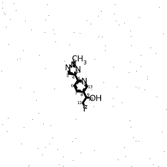 Cn1ncc(-c2ccc(C(O)CF)cn2)n1